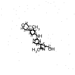 Cc1cc(Nc2nccc(-c3sc(CO)nc3C)n2)ccc1N1CCOCC1